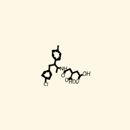 Cc1ccc(C(Cc2ccc(Cl)cc2)C(C)NC(=O)CC(CC(=O)O)C(=O)O)cc1